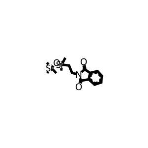 C[Si](C)(C)O[Si](C)(C)CCN1C(=O)c2ccccc2C1=O